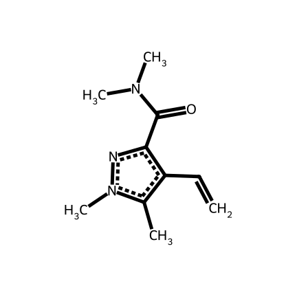 C=Cc1c(C(=O)N(C)C)nn(C)c1C